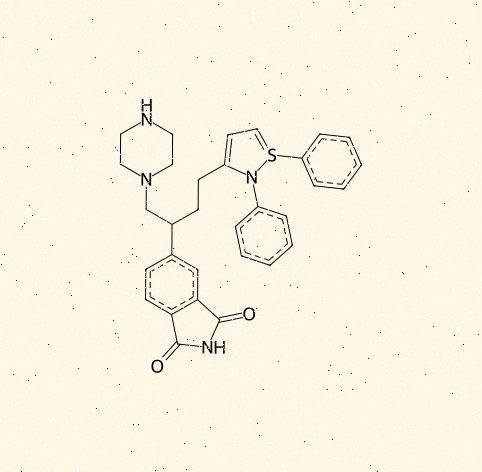 O=C1NC(=O)c2cc(C(CCC3=CC=S(c4ccccc4)N3c3ccccc3)CN3CCNCC3)ccc21